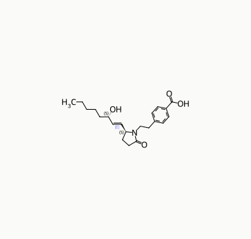 CCCCC[C@H](O)/C=C/[C@@H]1CCC(=O)N1CCc1ccc(C(=O)O)cc1